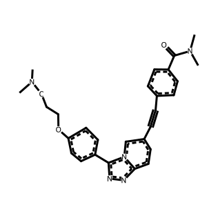 CN(C)CCCOc1ccc(-c2nnc3ccc(C#Cc4ccc(C(=O)N(C)C)cc4)cn23)cc1